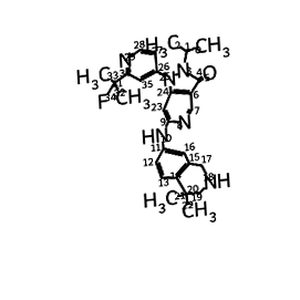 CC(C)n1c(=O)c2cnc(Nc3ccc4c(c3)CNCC4(C)C)cc2n1-c1ccnc(C(C)(C)F)c1